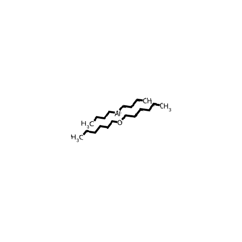 CCCCCCOCCCCCC.CCC[CH2][Al][CH2]CCC